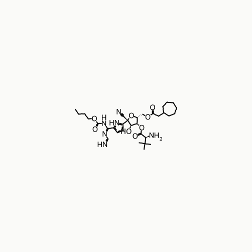 CCCCOC(=O)N/C(=N/C=N)c1ccc([C@]2(C#N)O[C@H](COC(=O)CC3CCCCCC3)[C@@H](OC(=O)[C@@H](N)C(C)(C)C)[C@H]2O)[nH]1